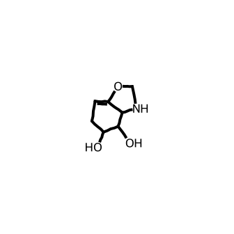 OC1CC=C2OCNC2C1O